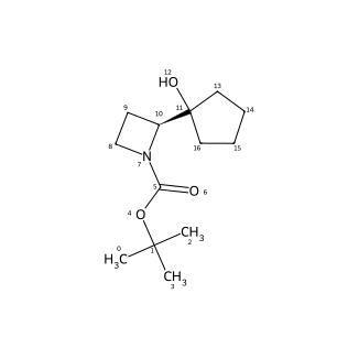 CC(C)(C)OC(=O)N1CC[C@H]1C1(O)CCCC1